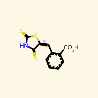 O=C(O)c1ccccc1/C=C1/SC(=S)NC1=S